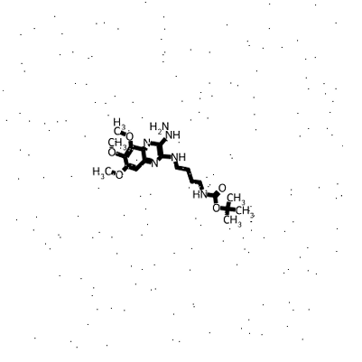 COc1cc2nc(NCCCCNC(=O)OC(C)(C)C)c(NN)nc2c(OC)c1OC